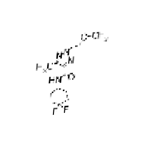 COCCn1nc(C)c(C(=O)NC2CCC(F)(F)CC2)n1